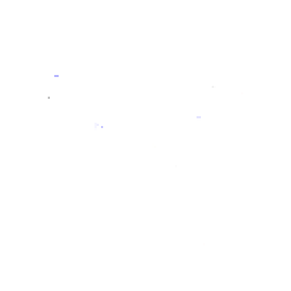 COc1ccc2c(c1)S(CN1CCNCC1)=C1c3ccccc3C3(OO3)N12